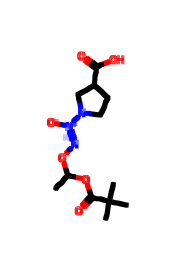 CC(O/N=[N+](\[O-])N1CCC(C(=O)O)C1)OC(=O)C(C)(C)C